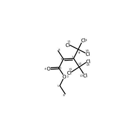 CCOC(=O)C(C)=C(C(Cl)(Cl)Cl)C(Cl)(Cl)Cl